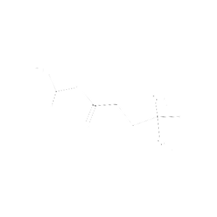 CCCCCC(CC)OC(=O)CCC(C)([N+](=O)[O-])[N+](=O)[O-]